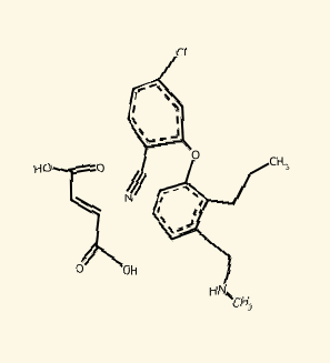 CCCc1c(CNC)cccc1Oc1cc(Cl)ccc1C#N.O=C(O)C=CC(=O)O